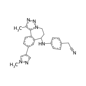 Cc1nnn2c1-c1ccc(-c3cnn(C)c3)cc1C(Nc1ccc(CC#N)cc1)CC2